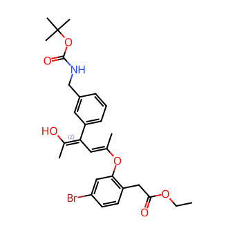 CCOC(=O)Cc1ccc(Br)cc1OC(C)=C/C(=C(\C)O)c1cccc(CNC(=O)OC(C)(C)C)c1